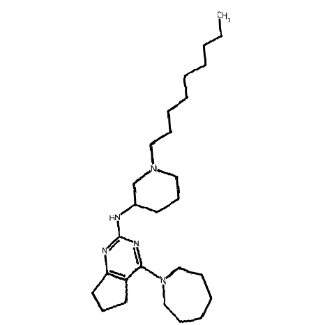 CCCCCCCCCN1CCCC(Nc2nc3c(c(N4CCCCCC4)n2)CCC3)C1